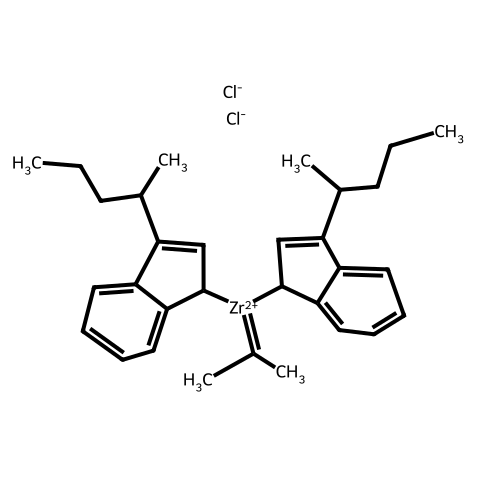 CCCC(C)C1=C[CH]([Zr+2](=[C](C)C)[CH]2C=C(C(C)CCC)c3ccccc32)c2ccccc21.[Cl-].[Cl-]